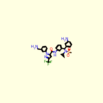 CS(=O)(=O)N(C1CC1)C(c1cccc(N)c1)c1cccc(NC(=O)c2cc(C(F)(F)F)nn2-c2cccc(CN)c2)c1